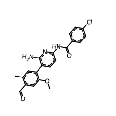 COc1cc(C=O)c(C)cc1-c1ccc(NC(=O)c2ccc(Cl)cc2)nc1N